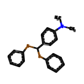 CN(C)c1ccc(C(Sc2ccccc2)Sc2ccccc2)cc1